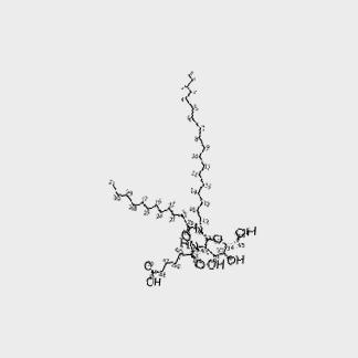 CCCCCCCCCCCCCCCCCCN(C(=O)CCCCCCCCCCC)[C@@H]1O[C@H](CO)[C@@H](O)[C@H](O)[C@H]1NC(=O)CCCCC(=O)O